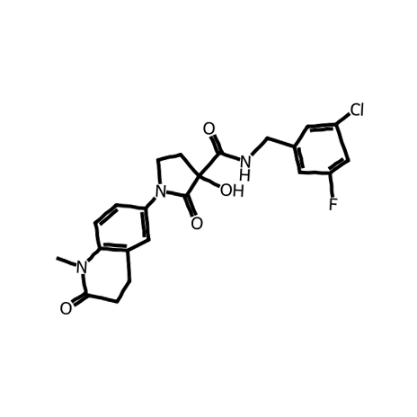 CN1C(=O)CCc2cc(N3CCC(O)(C(=O)NCc4cc(F)cc(Cl)c4)C3=O)ccc21